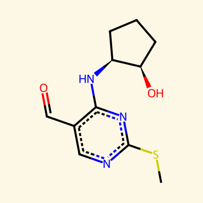 CSc1ncc(C=O)c(N[C@H]2CCC[C@H]2O)n1